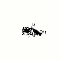 O=S(=O)(O)c1ccc(O)c(N=Nc2c(S(=O)(=O)O)cc3cc(Nc4ccc5c(O)c(N=Nc6ccccc6O)ccc5c4)ccc3c2O)c1